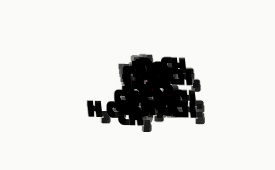 CC(C)(C)c1ccc(-c2ccccc2N(c2ccccc2-c2ccccc2)c2ccccc2-c2cccc3cccc(-c4cc(C(C)(C)C)cc(C(C)(C)C)c4)c23)cc1